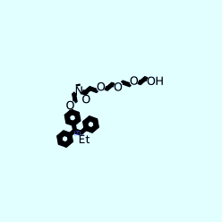 CC/C(=C(\c1ccccc1)c1ccc(OCCN(C)C(=O)CCOCCOCCOCCO)cc1)c1ccccc1